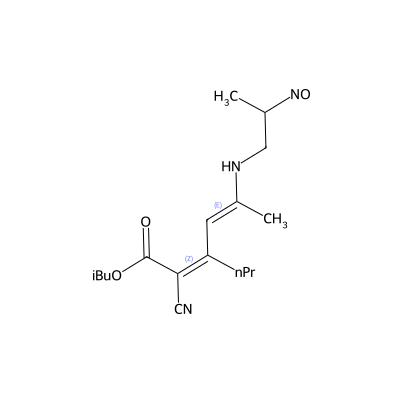 CCCC(/C=C(\C)NCC(C)N=O)=C(\C#N)C(=O)OCC(C)C